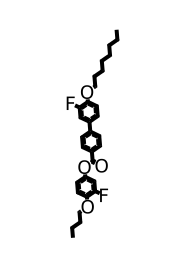 CCCCCCCCOc1ccc(-c2ccc(C(=O)Oc3ccc(OCCCC)c(F)c3)cc2)cc1F